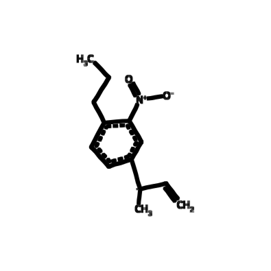 C=C[C](C)c1ccc(CCC)c([N+](=O)[O-])c1